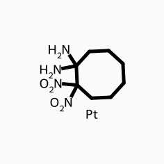 NC1(N)CCCCCCC1([N+](=O)[O-])[N+](=O)[O-].[Pt]